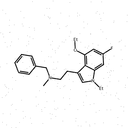 CCOc1cc(F)cc2c1c(CCN(C)Cc1ccccc1)cn2CC